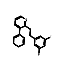 Fc1cc(F)cc(CCc2ncccc2C2=CCCC=C2)c1